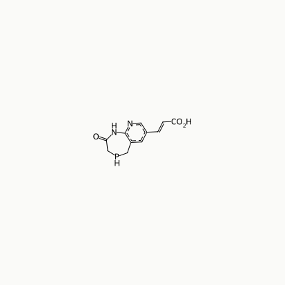 O=C(O)/C=C/c1cnc2c(c1)CPCC(=O)N2